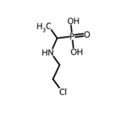 CC(NCCCl)P(=O)(O)O